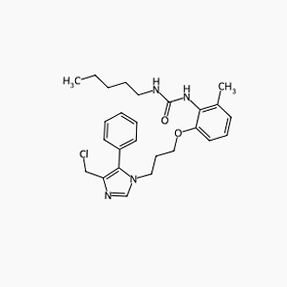 CCCCCNC(=O)Nc1c(C)cccc1OCCCn1cnc(CCl)c1-c1ccccc1